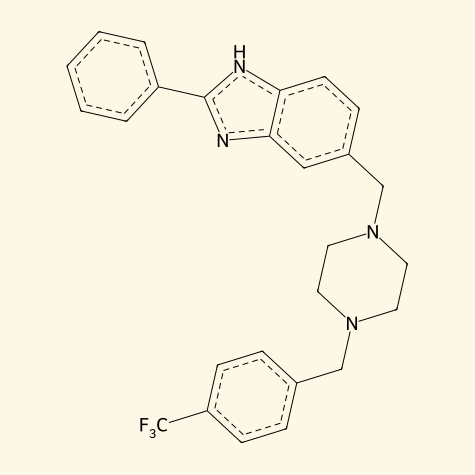 FC(F)(F)c1ccc(CN2CCN(Cc3ccc4[nH]c(-c5ccccc5)nc4c3)CC2)cc1